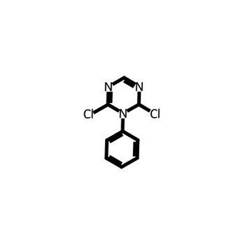 ClC1=NC=NC(Cl)N1c1ccccc1